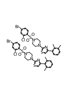 Cc1cccc(-c2csc(N3CCN(S(=O)(=O)c4ccc(Br)cc4Cl)CC3)n2)c1C.Cc1cccc(C)c1-c1csc(N2CCN(S(=O)(=O)c3ccc(Br)cc3Cl)CC2)n1